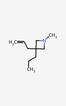 C=CCC1(CCC)CN(C)C1